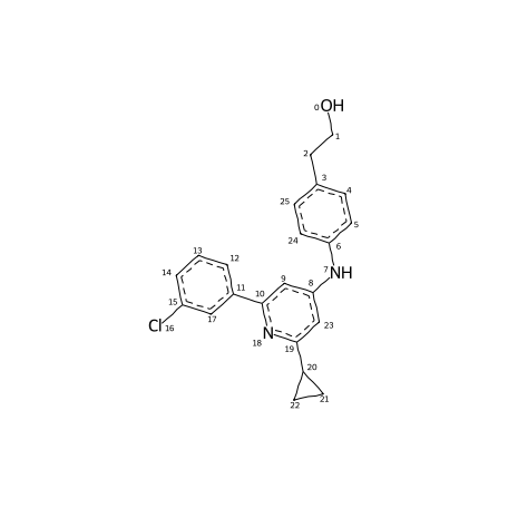 OCCc1ccc(Nc2cc(-c3cccc(Cl)c3)nc(C3CC3)c2)cc1